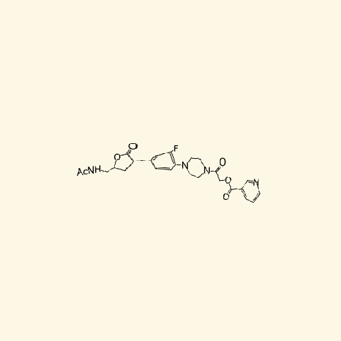 CC(=O)NCC1CC(c2ccc(N3CCN(C(=O)COC(=O)c4cccnc4)CC3)c(F)c2)C(=O)O1